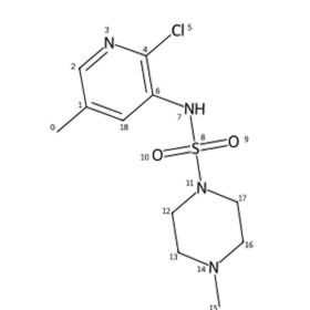 Cc1cnc(Cl)c(NS(=O)(=O)N2CCN(C)CC2)c1